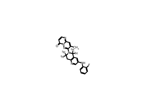 [2H]C1([2H])Cc2ncc(Nc3ccccc3F)cc2C([2H])([2H])N1c1nn2c(=O)ccnc2cc1C